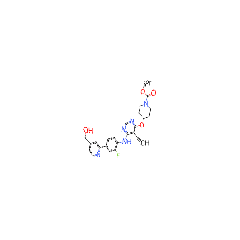 C#Cc1c(Nc2ccc(-c3cc(CO)ccn3)cc2F)ncnc1OC1CCN(C(=O)OC(C)C)CC1